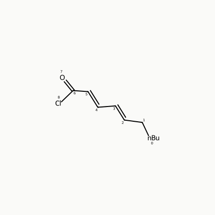 CCCCC/C=C/C=C/C(=O)Cl